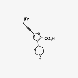 CC(C)CC#Cc1cc(C2C=CNCC2)c(C(=O)O)s1